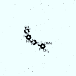 COc1cc(C)c(F)c(COc2cnc(Nc3ccc(N4CCN(C)CC4)c(F)c3)nc2)c1F